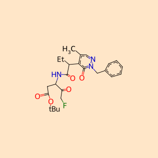 CCC(C(=O)NC(CC(=O)OC(C)(C)C)C(=O)CF)c1c(C)cnn(Cc2ccccc2)c1=O